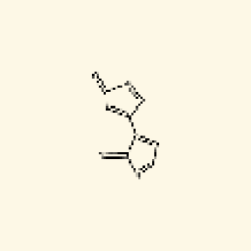 O=C1C=C(C2=CC=NC2=O)C=N1